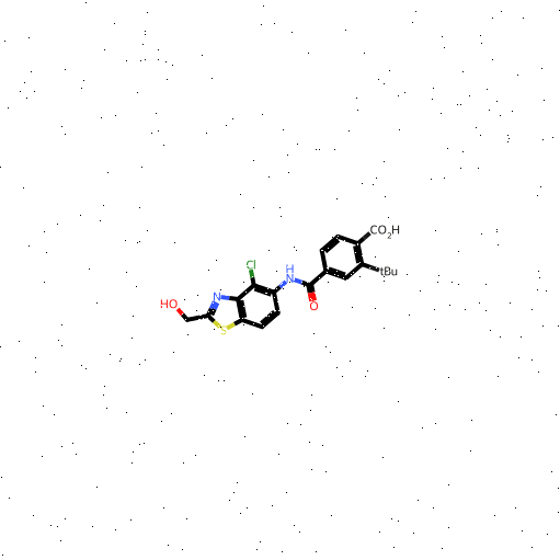 CC(C)(C)c1cc(C(=O)Nc2ccc3sc(CO)nc3c2Cl)ccc1C(=O)O